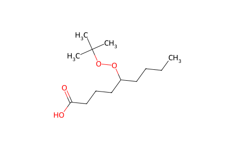 CCCCC(CCCC(=O)O)OOC(C)(C)C